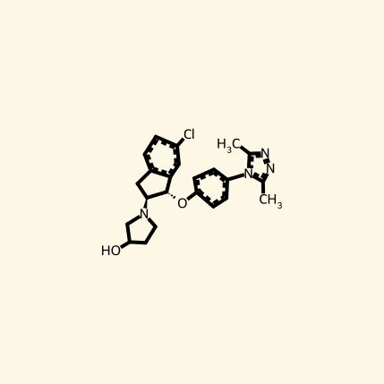 Cc1nnc(C)n1-c1ccc(O[C@H]2c3cc(Cl)ccc3C[C@@H]2N2CCC(O)C2)cc1